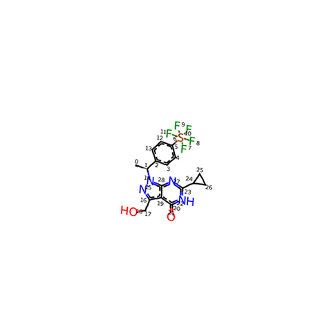 C[C@@H](c1ccc(S(F)(F)(F)(F)F)cc1)n1nc(CO)c2c(=O)[nH]c(C3CC3)nc21